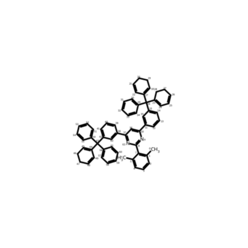 Cc1cccc(C)c1-c1nc(-c2cccc(C(C3=CCCC=C3)(C3=CC=CCC3)c3ccccc3)c2)cc(-c2cccc(C(C3=CCCC=C3)(c3ccccc3)c3ccccc3)c2)n1